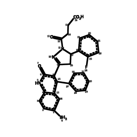 Bc1ccc2[nH]c(=O)c(C3=NN(C(=O)CCC(=O)O)C(c4ccccc4F)C3)c(-c3ccccc3)c2c1